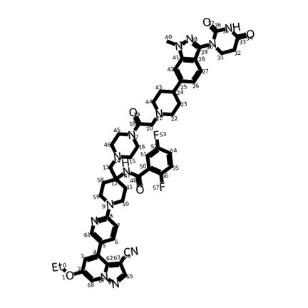 CCOc1cc(-c2ccc(N3CCC(CN4CCN(C(=O)CN5CCC(c6ccc7c(N8CCC(=O)NC8=O)nn(C)c7c6)CC5)CC4)(NC(=O)c4cc(F)ccc4F)CC3)nc2)c2c(C#N)cnn2c1